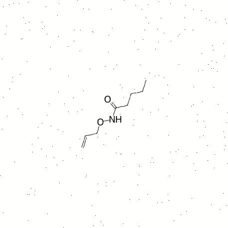 C=CCONC(=O)CCCC